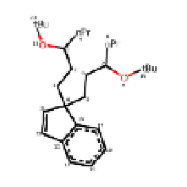 CCCC(CCC1(CCC(CCC)OC(C)(C)C)C=Cc2ccccc21)OC(C)(C)C